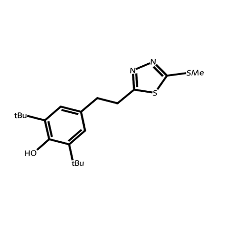 CSc1nnc(CCc2cc(C(C)(C)C)c(O)c(C(C)(C)C)c2)s1